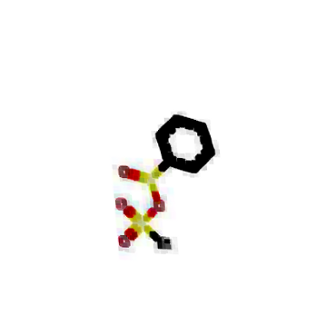 CCS(=O)(=O)OS(=O)c1ccccc1